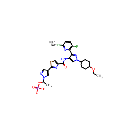 CCOC1CCC(n2cc(NC(=O)c3csc(-c4cnn(C(C)OP(=O)([O-])[O-])c4)n3)c(-c3nc(F)ccc3F)n2)CC1.[Na+].[Na+]